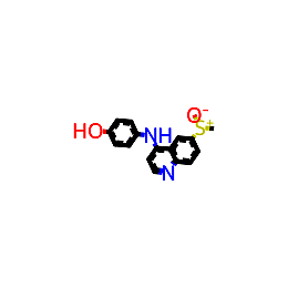 C[S+]([O-])c1ccc2nccc(Nc3ccc(O)cc3)c2c1